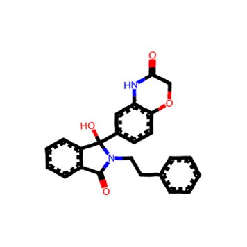 O=C1COc2ccc(C3(O)c4ccccc4C(=O)N3CCc3ccccc3)cc2N1